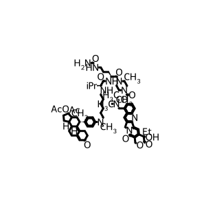 CC[C@@]1(O)C(=O)OCc2c1cc1n(c2=O)Cc2cc3c(CN(C)C)c(OC(=O)N4C[C@H](C)N(C(=O)[C@H](CCCNC(N)=O)NC(=O)[C@@H](NCCCCCCN(C)c5ccc([C@H]6C[C@@]7(C)[C@@H](CC[C@]7(OC(C)=O)C(C)=O)[C@@H]7CCC8=CC(=O)CCC8=C76)cc5)C(C)C)C[C@H]4C)ccc3nc2-1